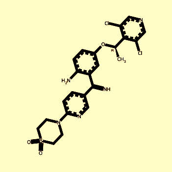 C[C@@H](Oc1ccc(N)c(C(=N)c2ccc(N3CCS(=O)(=O)CC3)nc2)c1)c1c(Cl)cncc1Cl